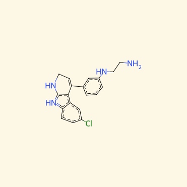 NCCNc1cccc(C2=CCNc3[nH]c4ccc(Cl)cc4c32)c1